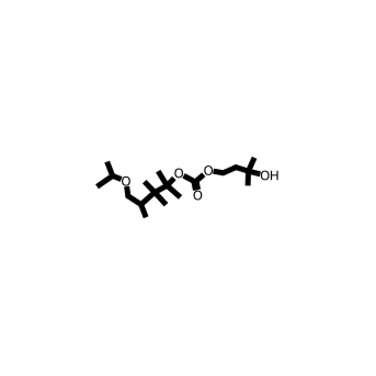 CC(C)OCC(C)C(C)(C)C(C)(C)OC(=O)OCCC(C)(C)O